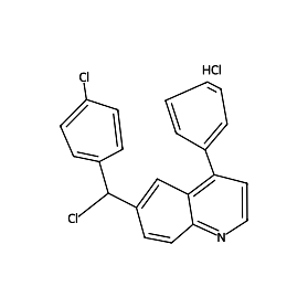 Cl.Clc1ccc(C(Cl)c2ccc3nccc(-c4ccccc4)c3c2)cc1